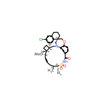 CO[C@H]1C=CC[C@H](C)[C@@H](C)S(=O)(=O)NC(=O)c2ccc3c(c2)N(C[C@@H]2CC[C@H]21)C[C@@]1(CCCc2cc(Cl)ccc21)CO3